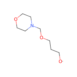 [O]CCCOCN1CCOCC1